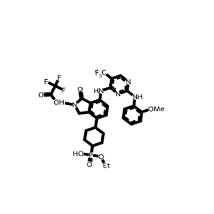 CCOP(=O)(O)C1CCC(c2ccc(Nc3nc(Nc4ccccc4OC)ncc3C(F)(F)F)c3c2CN(C)C3=O)CC1.O=C(O)C(F)(F)F